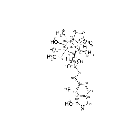 C=C[C@]1(C)C[C@@H](OC(=O)CSc2ccc3c(c2F)B(O)OC3)[C@]2(C)[C@H](C)CC[C@]3(CCC(=O)[C@H]32)[C@@H](C)[C@@H]1O